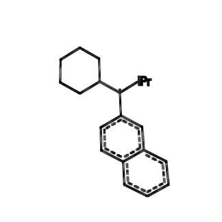 CC(C)[C](c1ccc2ccccc2c1)C1CCCCC1